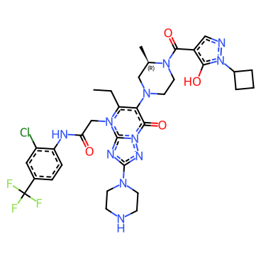 CCc1c(N2CCN(C(=O)c3cnn(C4CCC4)c3O)[C@H](C)C2)c(=O)n2nc(N3CCNCC3)nc2n1CC(=O)Nc1ccc(C(F)(F)F)cc1Cl